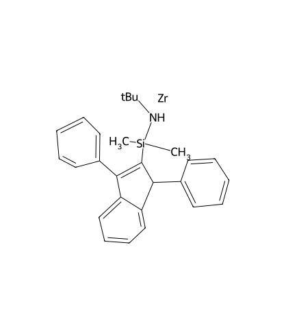 CC(C)(C)N[Si](C)(C)C1=C(c2ccccc2)c2ccccc2C1c1ccccc1.[Zr]